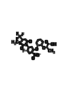 CC(Oc1ccccc1Oc1cc(-n2c(=O)cc(C(F)(F)F)n(C)c2=O)c(F)cc1[N+](=O)[O-])C(=O)O